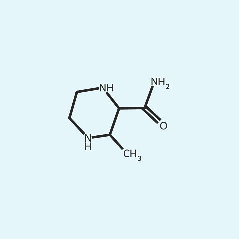 CC1NCCNC1C(N)=O